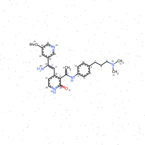 C=C(Nc1ccc(CCCN(C)C)cc1)c1c(/C=C(\N)c2cncc(OC)c2)cc[nH]c1=O